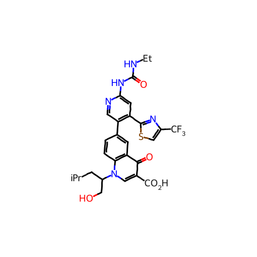 CCNC(=O)Nc1cc(-c2nc(C(F)(F)F)cs2)c(-c2ccc3c(c2)c(=O)c(C(=O)O)cn3C(CO)CC(C)C)cn1